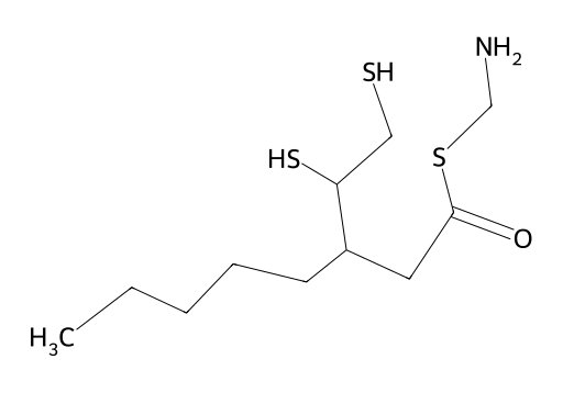 CCCCCC(CC(=O)SCN)C(S)CS